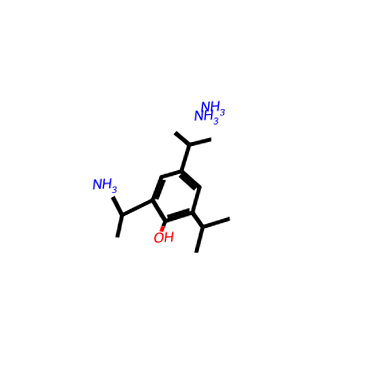 CC(C)c1cc(C(C)C)c(O)c(C(C)C)c1.N.N.N